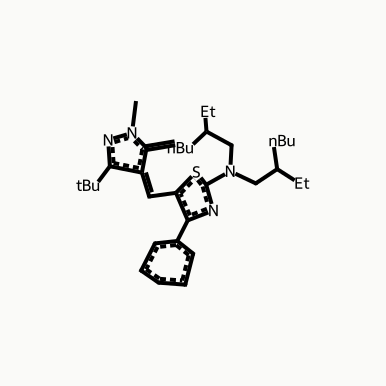 C=c1/c(=C\c2sc(N(CC(CC)CCCC)CC(CC)CCCC)nc2-c2ccccc2)c(C(C)(C)C)nn1C